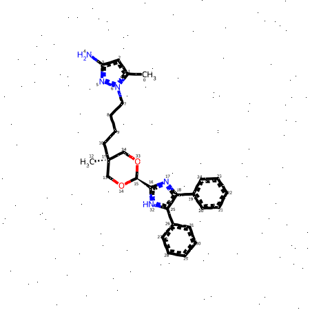 Cc1cc(N)nn1CCCC[C@]1(C)CO[C@H](c2nc(-c3ccccc3)c(-c3ccccc3)[nH]2)OC1